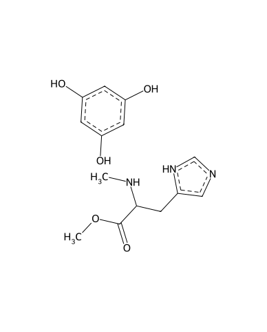 CNC(Cc1cnc[nH]1)C(=O)OC.Oc1cc(O)cc(O)c1